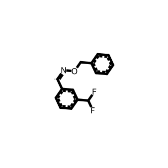 FC(F)c1cccc(/[C]=N\OCc2ccccc2)c1